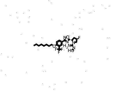 CCCCCCCCOc1ccc(-c2noc([C@@H]3C[C@@H](F)CN3/C(N)=N/O)n2)cc1C(F)(F)F